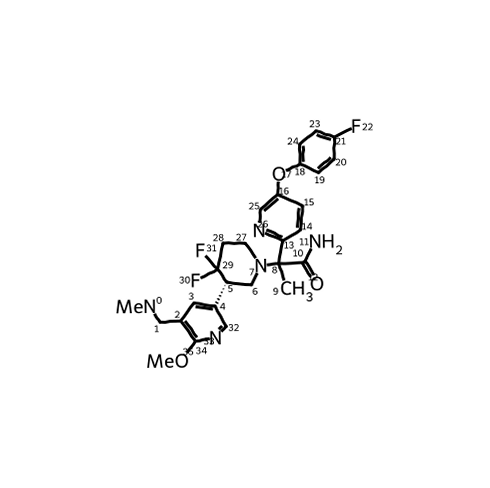 CNCc1cc([C@H]2CN(C(C)(C(N)=O)c3ccc(Oc4ccc(F)cc4)cn3)CCC2(F)F)cnc1OC